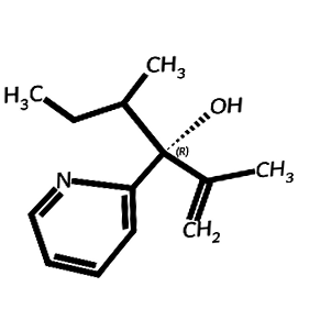 C=C(C)[C@@](O)(c1ccccn1)C(C)CC